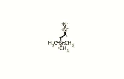 C[Si](C)(C)[CH]C=[N+]=[N-]